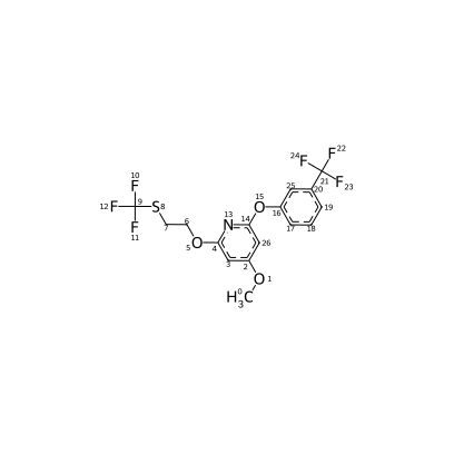 COc1cc(OCCSC(F)(F)F)nc(Oc2cccc(C(F)(F)F)c2)c1